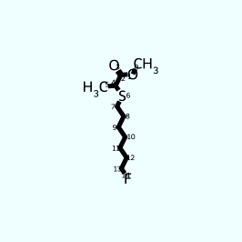 COC(=O)C(C)SCCCCCCCF